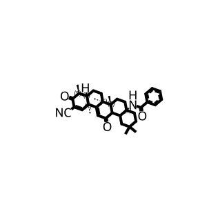 C[C@@H]1C(=O)C(C#N)=C[C@]2(C)C3=CC(=O)C4C5CC(C)(C)CC[C@]5(NC(=O)c5ccccc5)CC[C@@]4(C)[C@]3(C)CC[C@@H]12